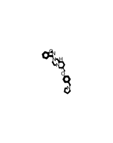 c1ccc2c(N3CCN4C[C@H](COc5ccc(CN6CCCC6)cc5)CC[C@H]4C3)noc2c1